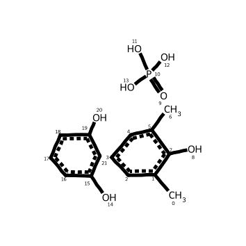 Cc1cccc(C)c1O.O=P(O)(O)O.Oc1cccc(O)c1